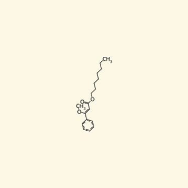 CCCCCCCCOC(=O)C=C(OC)c1ccccc1